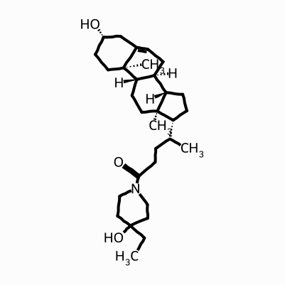 CCC1(O)CCN(C(=O)CCC(C)[C@H]2CC[C@H]3[C@@H]4CC=C5C[C@@H](O)CC[C@]5(C)[C@H]4CC[C@]23C)CC1